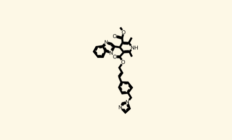 COC(=O)C1=C(C)NC(C)=C(C(=O)OCC=Cc2ccc(Cn3ccnc3)cc2)C1c1cnc2ccccc2n1